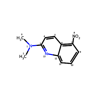 CN(C)c1ccc2c([N+](=O)[O-])cccc2n1